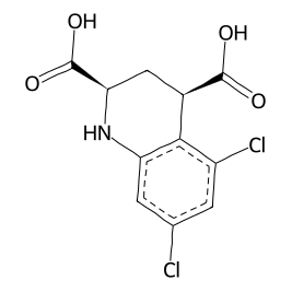 O=C(O)[C@H]1C[C@@H](C(=O)O)c2c(Cl)cc(Cl)cc2N1